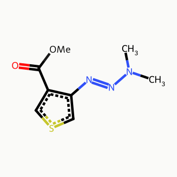 COC(=O)c1cscc1/N=N/N(C)C